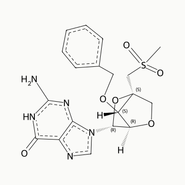 CS(=O)(=O)C[C@@]12CO[C@@H]([C@H](n3cnc4c(=O)[nH]c(N)nc43)O1)[C@@H]2OCc1ccccc1